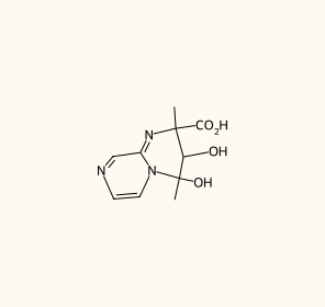 CC1(C(=O)O)N=C2C=NC=CN2C(C)(O)C1O